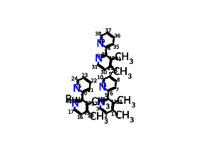 Cc1ccnc(-c2ccccn2)c1C.Cc1ccnc(-c2ccccn2)c1C.Cc1ccnc(-c2ccccn2)c1C.[Ru]